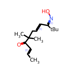 C/C=C/C(=O)C(C)(C)C/C=C/C(=N\O)C(C)(C)C